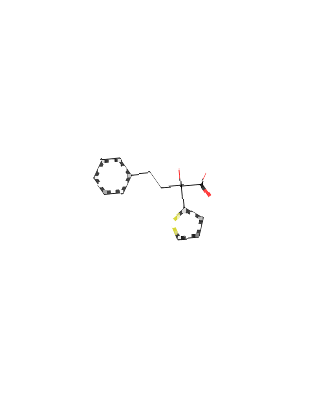 [O]C(=O)C(O)(CCc1ccccc1)c1cccs1